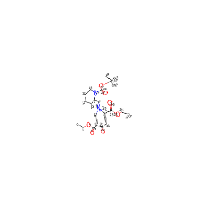 CCOC(=O)c1cn(CC2CCCCN2C(=O)OC(C)(C)C)c(C(=O)OCC)cc1=O